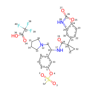 CS(=O)(=O)Oc1cccc(C(CN2CCCC2)NC(=O)C2(c3ccc4oc(=O)[nH]c4c3)CC2)c1.O=C(O)C(F)(F)F